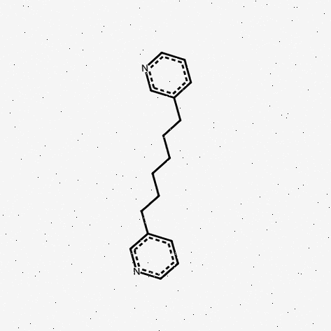 c1cncc(CCCCCCc2cccnc2)c1